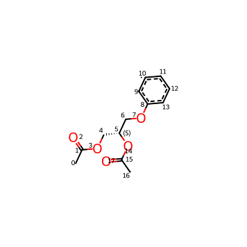 CC(=O)OC[C@H](COc1c[c]ccc1)OC(C)=O